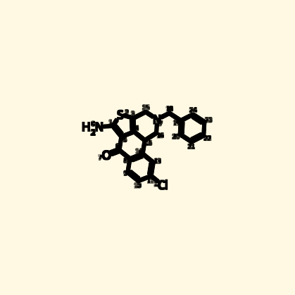 Nc1sc2c3c1C(=O)c1ccc(Cl)cc1C3CN(Cc1ccccc1)C2